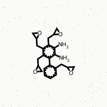 Nc1c(N)c(-c2ccccc2CC2CO2)c(CC2CO2)c(CC2CO2)c1CC1CO1